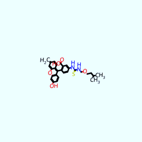 C=c1ccc2c(c1)Oc1cc(O)ccc1C=2c1ccc(NC(=S)NCOCCC(C)C)cc1C(=O)O